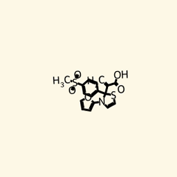 C=C(C(=O)O)C1(c2ccc(S(C)(=O)=O)cc2)SC=CN1c1ccco1